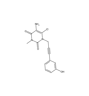 Cn1c(=O)c(N)c(Cl)n(CC#Cc2cccc(O)c2)c1=O